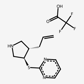 C=CC[C@H]1CNC[C@@H]1Sc1ncccn1.O=C(O)C(F)(F)F